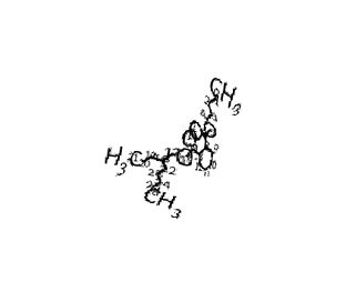 CCCCCOC(=O)C1CCCCC1C(=O)OCC(CCC)CCCCC